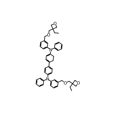 CCC1(COCc2cccc(N(C3=CC=C(c4ccc(N(c5ccccc5)c5cccc(COCC6(CC)COC6)c5)cc4)CC3)c3ccccc3)c2)COC1